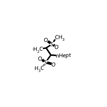 [CH2]C(C(CCCCCCC)S(C)(=O)=O)S(C)(=O)=O